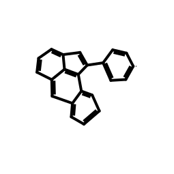 [c]1ccc(C2=Cc3cccc4cc5ccccc5c2c34)cc1